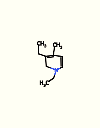 CCC1=C(C)C=CN(CC)C1